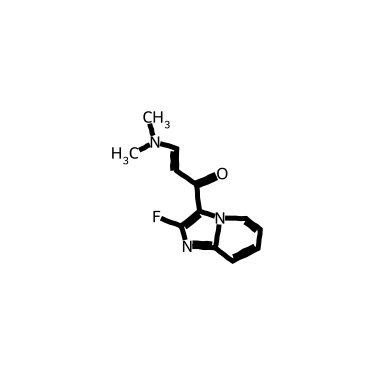 CN(C)/C=C/C(=O)c1c(F)nc2ccccn12